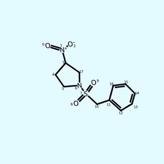 O=[N+]([O-])C1CCN(S(=O)(=O)Cc2ccccc2)C1